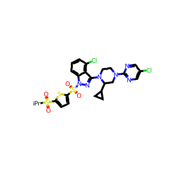 CC(C)S(=O)(=O)c1ccc(S(=O)(=O)n2nc(N3CCN(c4ncc(Cl)cn4)CC3C3CC3)c3c(Cl)cccc32)s1